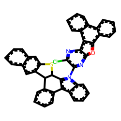 Clc1nc2c(nc1-n1c3c(c4ccccc41)-c1ccccc1C1c4cc5ccccc5cc4SC31)oc1c3ccccc3c3ccccc3c21